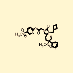 CN(C)[C@]1(c2ccccc2)CC[C@]2(CC1)CN(CC(=O)Nc1ccc(S(C)(=O)=O)cn1)C(=O)N2CC1CCC1